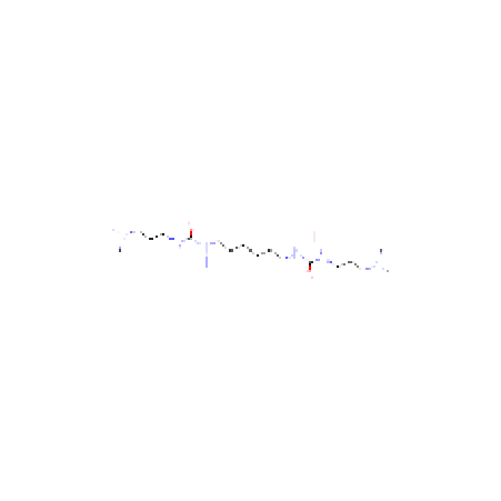 CN(C)CCCNC(=O)NCCCCCCN(P)C(=O)NCCCN(C)C